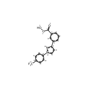 O=C(OO)c1cccc(-c2ccn(-c3ccc(C(F)(F)F)cc3)n2)c1